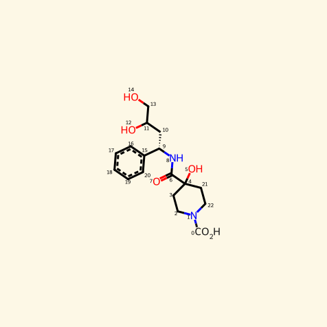 O=C(O)N1CCC(O)(C(=O)N[C@@H](CC(O)CO)c2ccccc2)CC1